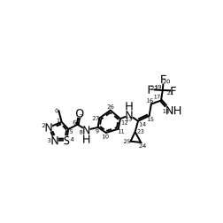 Cc1nnsc1C(=O)Nc1ccc(N/C(=C\CC(=N)C(F)(F)F)C2CC2)cc1